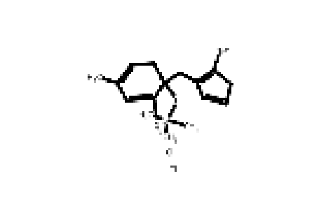 CC1=CCC(CC2=[C]([Ti+2])CC=C2)(O[Si](C)(C)C)C(C)=C1.[Cl-].[Cl-]